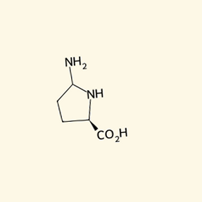 NC1CC[C@H](C(=O)O)N1